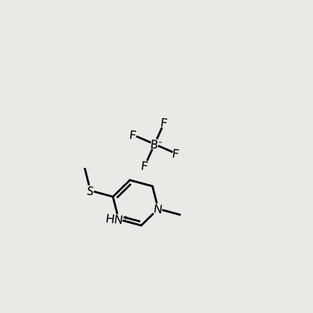 CSC1=CCN(C)C=[NH+]1.F[B-](F)(F)F